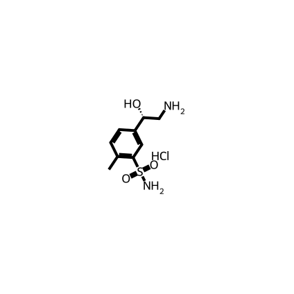 Cc1ccc([C@H](O)CN)cc1S(N)(=O)=O.Cl